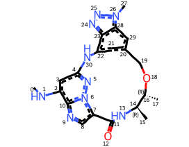 CNc1cc2nn3c(cnc13)C(=O)N[C@H](C)[C@@H](C)OCc1cc(c3nnn(C)c3c1)N2